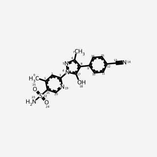 Cc1cc(-n2nc(C)c(-c3ccc(C#N)cc3)c2O)ncc1S(N)(=O)=O